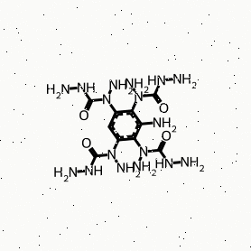 NNC(=O)N(N)c1cc(N(N)C(=O)NN)c(N(N)C(=O)NN)c(N)c1N(N)C(=O)NN